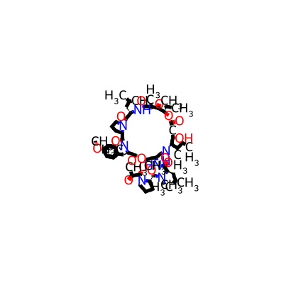 CC[C@H](C)[C@H]1NC(=O)C(NC(=O)[C@@H](CC(C)C)N(C)C(=O)[C@@H]2CCCN2C(=O)C(C)=O)[C@@H](C)OC(=O)[C@H](Cc2ccc(OC)cc2)N(C)C(=O)C2CCCN2C(=O)[C@H](CC(C)C)NC(=O)[C@@H](C)C(=O)[C@H](C(C)C)OC(=O)C[C@H]1O